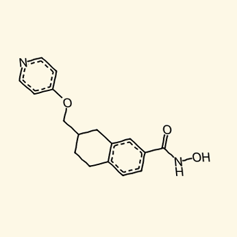 O=C(NO)c1ccc2c(c1)CC(COc1ccncc1)CC2